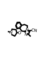 Cc1nc2n(c1C#N)CCc1ccccc1C2OC1CCN(C)CC1